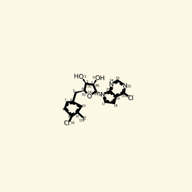 O[C@@H]1[C@H](O)[C@H]([CH]c2ccc(Cl)c(F)c2)O[C@H]1n1ccc2c(Cl)ncnc21